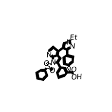 CCn1cc(-c2ccnc3c2cc(-c2cccc(CO)c2)n3S(=O)(=O)c2ccccc2)c(-c2ccc(N=O)cc2)n1